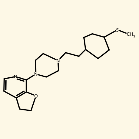 CSC1CCC(CCN2CCN(c3nccc4c3OCC4)CC2)CC1